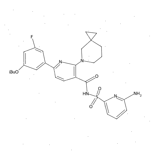 CC(C)COc1cc(F)cc(-c2ccc(C(=O)NS(=O)(=O)c3cccc(N)n3)c(N3CCCC4(CC4)C3)n2)c1